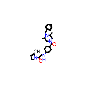 CC1CN(C(=O)C2CCC(NCC(=O)N3CCC[C@H]3C#N)CC2)CC(C)N1Cc1ccccc1